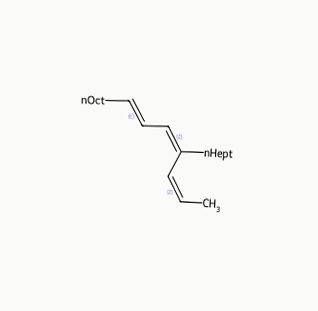 C\C=C/C(=C\C=C\CCCCCCCC)CCCCCCC